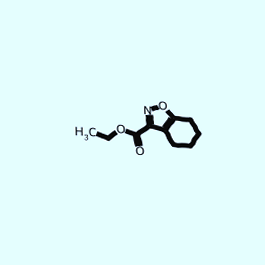 CCOC(=O)c1noc2c1CCCC2